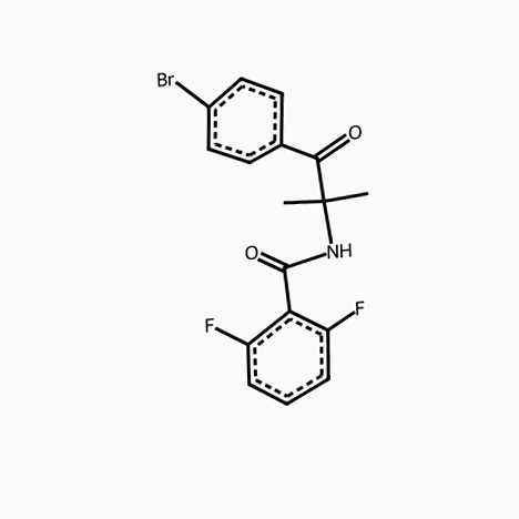 CC(C)(NC(=O)c1c(F)cccc1F)C(=O)c1ccc(Br)cc1